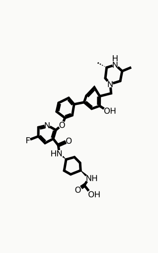 CC1CN(Cc2ccc(-c3cccc(Oc4ncc(F)cc4C(=O)N[C@H]4CC[C@H](NC(=O)O)CC4)c3)cc2O)C[C@H](C)N1